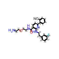 N#Cc1ccccc1-c1ccc(C(=O)NCCOCCN)c(NCCc2cccc(F)c2)n1